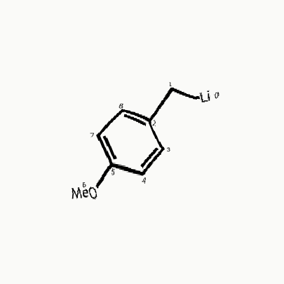 [Li][CH2]c1ccc(OC)cc1